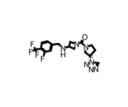 O=C(N1CC(NCc2ccc(C(F)(F)F)c(F)c2)C1)N1CC[C@H](n2cnnn2)C1